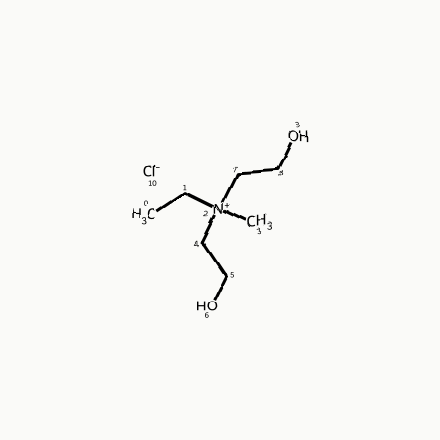 CC[N+](C)(CCO)CCO.[Cl-]